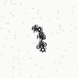 Cl.O=C1c2ccccc2C(=O)N1OCCCN1CCN(c2cccc(C(F)(F)F)c2)CC1